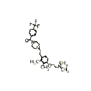 Cc1c(CCN2CCN(C(=O)c3ccc(C(F)(F)F)cc3)CC2)ccc(OCCN(C)C)c1C